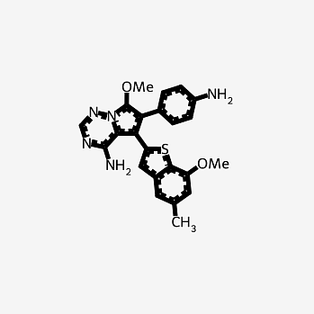 COc1cc(C)cc2cc(-c3c(-c4ccc(N)cc4)c(OC)n4ncnc(N)c34)sc12